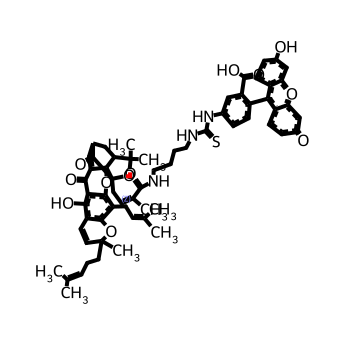 CC(C)=CCCC1(C)C=Cc2c(O)c3c(c(CC=C(C)C)c2O1)OC12C(=CC4CC1C(C)(C)OC2(C/C=C(/C)C(=O)NCCCCNC(=S)Nc1ccc(-c2c5ccc(=O)cc-5oc5cc(O)ccc25)c(C(=O)O)c1)C4=O)C3=O